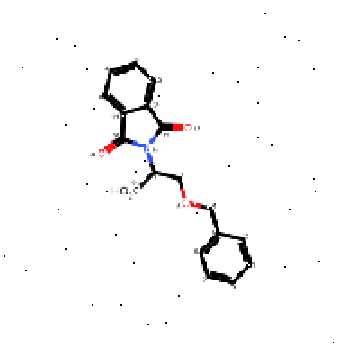 O=C(O)C(COCc1ccccc1)N1C(=O)c2ccccc2C1=O